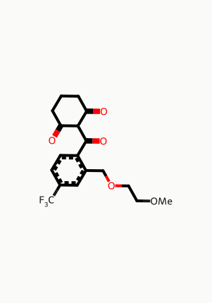 COCCOCc1cc(C(F)(F)F)ccc1C(=O)C1C(=O)CCCC1=O